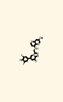 COc1cnc2c(NCc3nnc4c(F)cc(-c5cc(F)c(F)c(F)c5)cn34)ccnc2c1